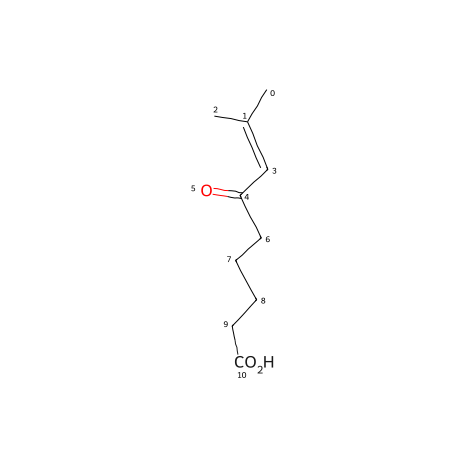 CC(C)=CC(=O)CCCCC(=O)O